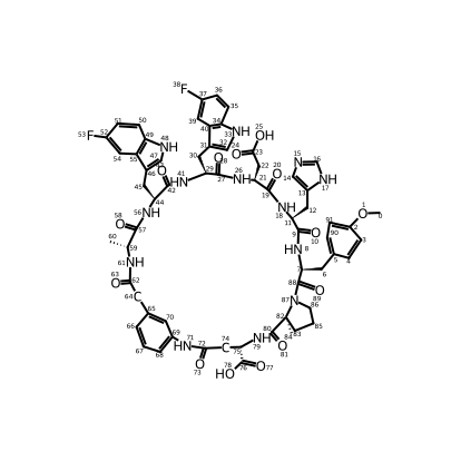 COc1ccc(C[C@@H]2NC(=O)[C@H](Cc3cnc[nH]3)NC(=O)[C@H](CC(=O)O)NC(=O)[C@H](Cc3c[nH]c4ccc(F)cc34)NC(=O)[C@H](Cc3c[nH]c4ccc(F)cc34)NC(=O)[C@@H](C)NC(=O)Cc3cccc(c3)NC(=O)C[C@@H](C(=O)O)NC(=O)[C@]3(C)CCCN3C2=O)cc1